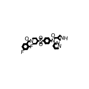 O=C(c1ccc(F)cc1F)N1CCC(S(=O)(=O)c2ccc(N(C(=O)C3CNC3)c3cccnn3)cc2)CC1